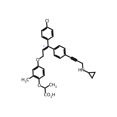 Cc1cc(OC/C=C(/c2ccc(Cl)cc2)c2ccc(C#CCNC3CC3)cc2)ccc1OC(C)C(=O)O